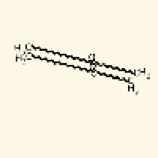 CCCCCCCCCCCCCCCCCCCC(=O)OCCCCCCCCCCC.CCCCCCCCCCCCCCCCCCCC(=O)OCCCCCCCCCCCCC